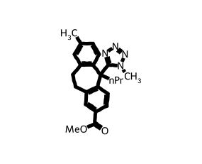 CCCC1(c2nnnn2C)c2ccc(C)cc2CCc2cc(C(=O)OC)ccc21